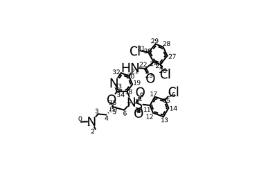 CN(C)CC[C@H]1CN(S(=O)(=O)c2cccc(Cl)c2)c2cc(NC(=O)c3c(Cl)cccc3Cl)cnc2O1